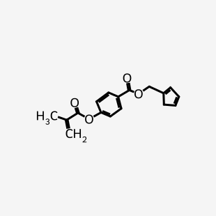 C=C(C)C(=O)Oc1ccc(C(=O)OCC2=CC=CC2)cc1